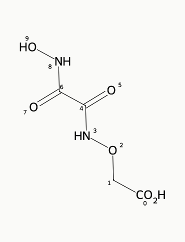 O=C(O)CONC(=O)C(=O)NO